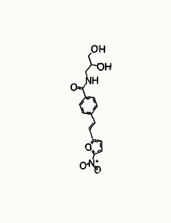 O=C(NCC(O)CO)c1ccc(C=Cc2ccc([N+](=O)[O-])o2)cc1